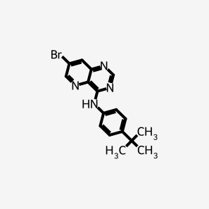 CC(C)(C)c1ccc(Nc2ncnc3cc(Br)cnc23)cc1